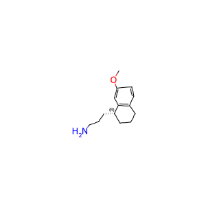 COc1ccc2c(c1)[C@@H](CCCN)CCC2